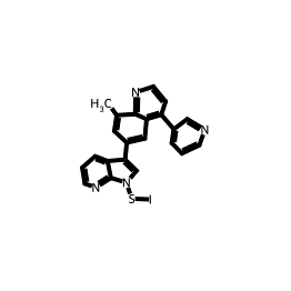 Cc1cc(-c2cn(SI)c3ncccc23)cc2c(-c3cccnc3)ccnc12